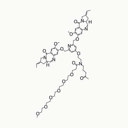 C/C=C1\C[C@H]2C=Nc3cc(OCc4cc(OCCN(CCCC(C)=O)C(=O)CCOCCOCCOCCOCCOCCOC)cc(COc5cc6c(cc5OC)C(=O)N5C/C(=C/C)C[C@H]5C=N6)n4)c(OC)cc3C(=O)N2C1